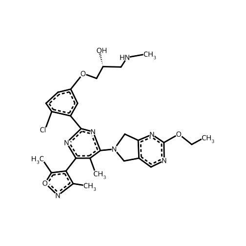 CCOc1ncc2c(n1)CN(c1nc(-c3cc(OC[C@H](O)CNC)ccc3Cl)nc(-c3c(C)noc3C)c1C)C2